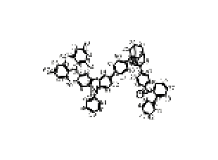 Cc1cc(C)c(B(c2ccc3c(c2)c2cc(-c4ccc(C56CC7CC(C5)CC(c5ccc(P8(=O)c9ccccc9-c9ccccc98)cc5)(C7)C6)cc4)ccc2n3-c2ccccc2)c2c(C)cc(C)cc2C)c(C)c1